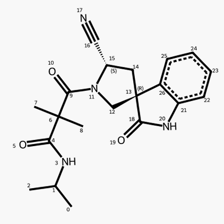 CC(C)NC(=O)C(C)(C)C(=O)N1C[C@]2(C[C@H]1C#N)C(=O)Nc1ccccc12